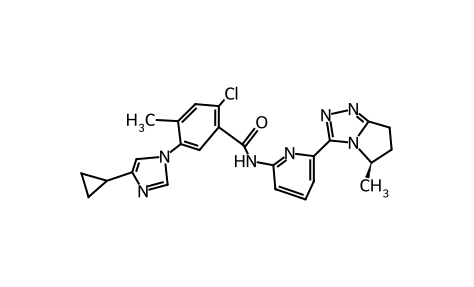 Cc1cc(Cl)c(C(=O)Nc2cccc(-c3nnc4n3[C@H](C)CC4)n2)cc1-n1cnc(C2CC2)c1